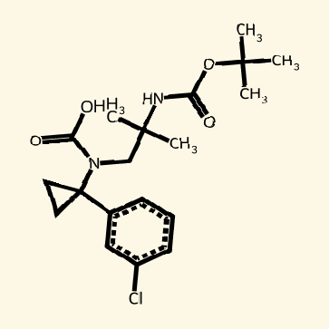 CC(C)(CN(C(=O)O)C1(c2cccc(Cl)c2)CC1)NC(=O)OC(C)(C)C